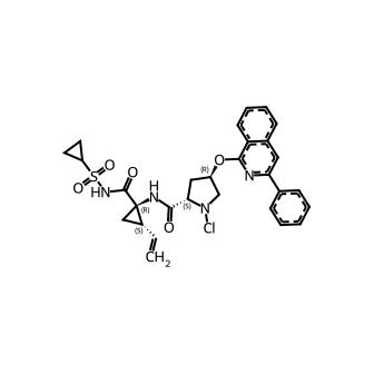 C=C[C@@H]1C[C@]1(NC(=O)[C@@H]1C[C@@H](Oc2nc(-c3ccccc3)cc3ccccc23)CN1Cl)C(=O)NS(=O)(=O)C1CC1